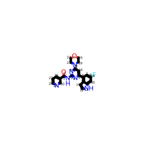 O=C(Nc1nc(-c2cc(F)cc3[nH]ccc23)cc(N2CCOCC2)n1)c1cccnc1